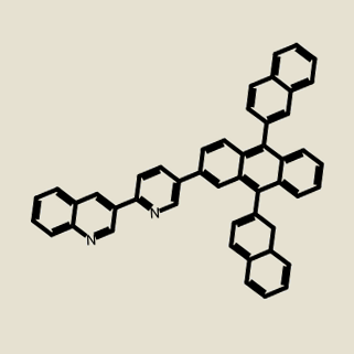 C1=CC2=CC=C(c3c4ccccc4c(-c4ccc5ccccc5c4)c4ccc(-c5ccc(-c6cnc7ccccc7c6)nc5)cc34)CC2C=C1